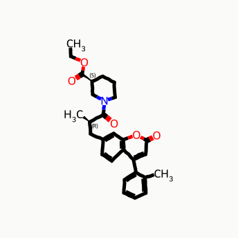 CCOC(=O)[C@H]1CCCN(C(=O)[C@H](C)Cc2ccc3c(-c4ccccc4C)cc(=O)oc3c2)C1